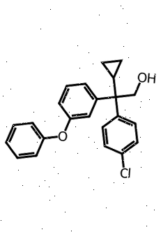 OCC(c1ccc(Cl)cc1)(c1cccc(Oc2ccccc2)c1)C1CC1